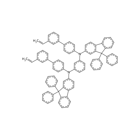 C=Cc1cccc(-c2ccc(N(c3cccc(N(c4ccc(-c5cccc(C=C)c5)cc4)c4ccc5c(c4)C(c4ccccc4)(c4ccccc4)c4ccccc4-5)c3)c3ccc4c(c3)C(c3ccccc3)(c3ccccc3)c3ccccc3-4)cc2)c1